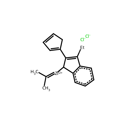 CCC1=C(C2=CC=CC2)[CH]([Zr+2]=[C](C)C)c2ccccc21.[Cl-].[Cl-]